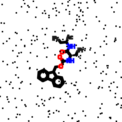 CC(=O)[C@H](CC(C)C)NC(=O)[C@H](CC(C)C)NC(=O)OCC1c2ccccc2-c2ccccc21